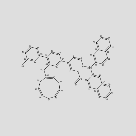 C=CC/C=C(\C=C/CN(c1ccc2ccccc2c1)c1ccc2ccccc2c1)c1ccc(-c2cccc(C)c2)c(C/C2=C/C/C=C\C/C=C\C2)c1